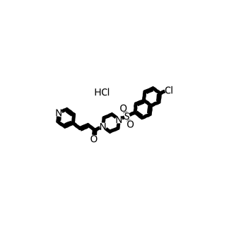 Cl.O=C(C=Cc1ccncc1)N1CCN(S(=O)(=O)c2ccc3cc(Cl)ccc3c2)CC1